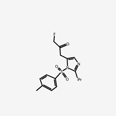 Cc1ccc(S(=O)(=O)n2c(CC(=O)CF)cnc2C(C)C)cc1